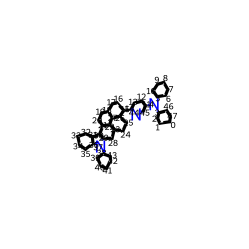 c1ccc(N(c2ccccc2)c2ccc(-c3ccc4ccc5c6c(ccc3c46)cc3c5c4ccccc4n3-c3ccccc3)nc2)cc1